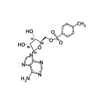 Cc1ccc(S(=O)(=O)OC[C@H]2O[C@@H](n3cnc4c(N)ncnc43)[C@H](O)[C@@H]2O)cc1